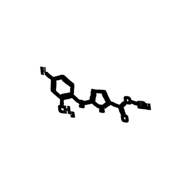 Cc1cc(F)ccc1Sc1ccc(C(=O)OC(C)(C)C)s1